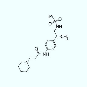 CC(CNS(=O)(=O)C(C)C)c1ccc(NC(=O)CCN2CCCCC2)cc1